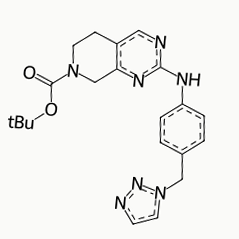 CC(C)(C)OC(=O)N1CCc2cnc(Nc3ccc(Cn4ccnn4)cc3)nc2C1